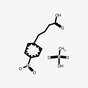 CS(=O)(=O)O.O=C(O)CCCc1ccc([N+](=O)[O-])cc1